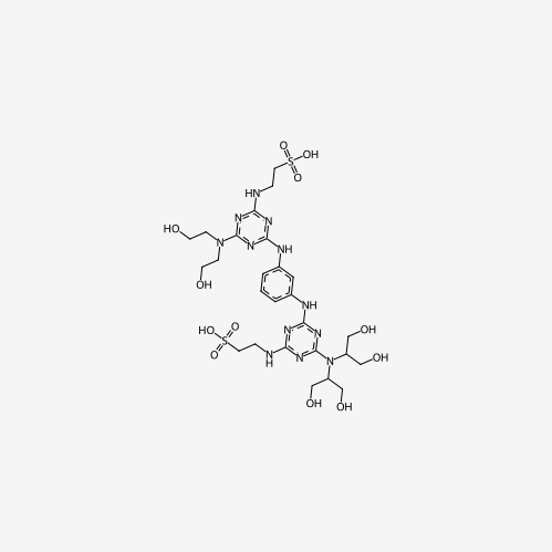 O=S(=O)(O)CCNc1nc(Nc2cccc(Nc3nc(NCCS(=O)(=O)O)nc(N(C(CO)CO)C(CO)CO)n3)c2)nc(N(CCO)CCO)n1